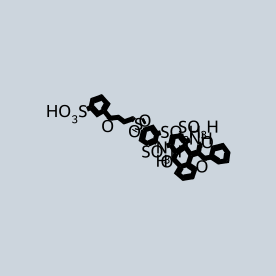 O=C(CCCS(=O)(=O)c1cc(S(=O)(=O)O)c(Nc2cc(S(=O)(=O)O)c3[nH]c(=O)c(C(=O)c4ccccc4)c4c3c2C(=O)c2ccccc2-4)c(S(=O)(=O)O)c1)c1cccc(S(=O)(=O)O)c1